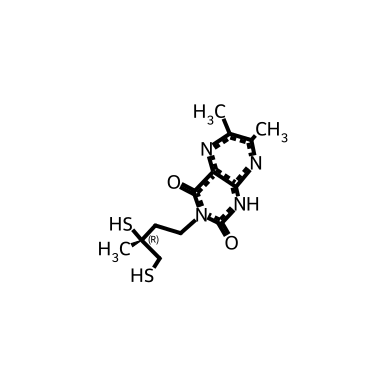 Cc1nc2[nH]c(=O)n(CC[C@@](C)(S)CS)c(=O)c2nc1C